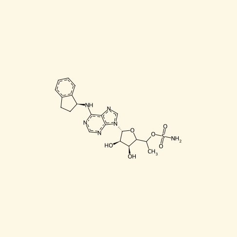 CC(OS(N)(=O)=O)C1O[C@@H](n2cnc3c(N[C@H]4CCc5ccccc54)ncnc32)[C@H](O)[C@@H]1O